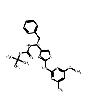 COc1cc(C)nc(Nc2nc([C@H](Cc3ccccc3)NC(=O)OC(C)(C)C)cs2)n1